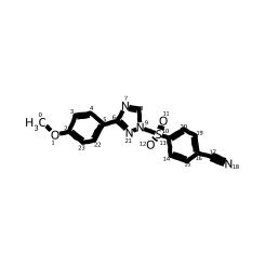 COc1ccc(-c2ncn(S(=O)(=O)c3ccc(C#N)cc3)n2)cc1